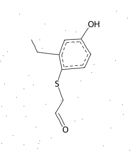 CCc1cc(O)ccc1SCC=O